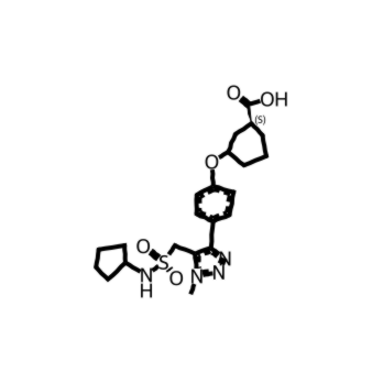 Cn1nnc(-c2ccc(OC3CCC[C@H](C(=O)O)C3)cc2)c1CS(=O)(=O)NC1CCCC1